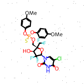 COc1ccc(OP(=S)(OC[C@@]2(C(F)F)O[C@@H](n3cc(Cl)c(=O)[nH]c3=O)C(F)(F)[C@H]2O)Oc2ccc(OC)cc2)cc1